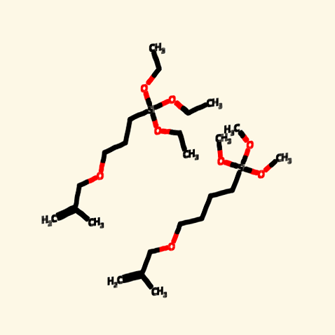 C=C(C)COCCCC[Si](OC)(OC)OC.C=C(C)COCCC[Si](OCC)(OCC)OCC